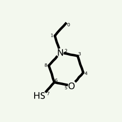 CCN1CCOC(S)C1